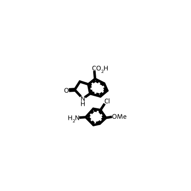 COc1ccc(N)cc1Cl.O=C1Cc2c(cccc2C(=O)O)N1